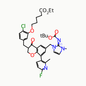 CCOC(=O)CCCCOc1cc(CC2COc3c(cc(Cn4ccn(C)/c4=N/C(=O)OC(C)(C)C)cc3-c3ccc(F)nc3C)C2=O)ccc1Cl